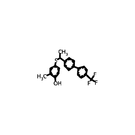 Cc1cc(SC(C)c2ccc(-c3ccc(C(F)(F)F)cc3)cc2)ccc1O